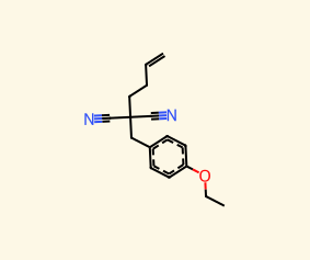 C=CCCC(C#N)(C#N)Cc1ccc(OCC)cc1